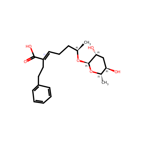 C[C@H](CC/C=C(\CCc1ccccc1)C(=O)O)O[C@@H]1O[C@@H](C)[C@H](O)C[C@H]1O